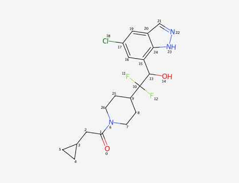 O=C(CC1CC1)N1CCC(C(F)(F)C(O)c2cc(Cl)cc3cn[nH]c23)CC1